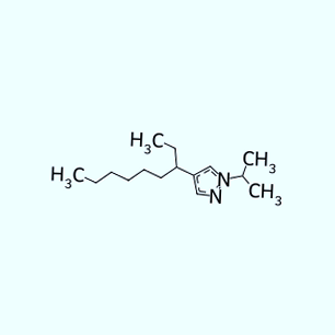 CCCCCCC(CC)c1cnn(C(C)C)c1